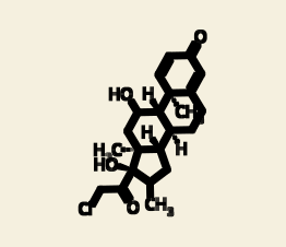 CC1C[C@H]2[C@@H]3CCC4=CC(=O)C=C[C@]4(C)[C@H]3C(O)C[C@]2(C)[C@@]1(O)C(=O)CCl